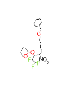 O=[N+]([O-])C(CCCCCOCc1ccccc1)C(OC1CCCCO1)C(F)C(F)F